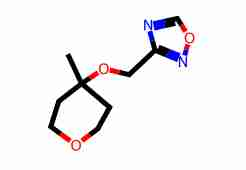 CC1(OCc2ncon2)CCOCC1